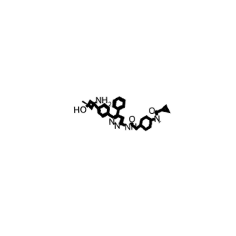 CN(C(=O)C1CC1)C1CCC(CC(=O)Nc2cc(-c3ccccc3)c(-c3ccc([C@]4(N)C[C@](C)(O)C4)cc3)nn2)CC1